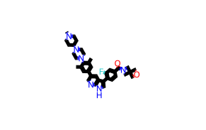 Cc1cc(-c2cnc3[nH]cc(-c4ccc(C(=O)N5CC6(COC6)C5)cc4F)c3c2)cc(C)c1N1CCN(C2CCN(C)CC2)CC1